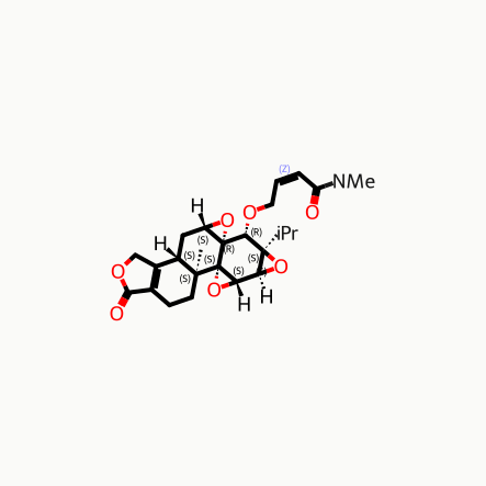 CNC(=O)/C=C\CO[C@@H]1[C@@]2(C(C)C)O[C@H]2[C@@H]2O[C@]23[C@]12O[C@H]2C[C@H]1C2=C(CC[C@@]13C)C(=O)OC2